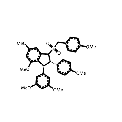 COc1ccc(CS(=O)(=O)C2c3cc(OC)cc(OC)c3[C@H](c3cc(OC)cc(OC)c3)[C@H]2c2ccc(OC)cc2)cc1